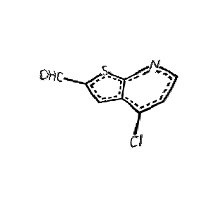 O=Cc1cc2c(Cl)ccnc2s1